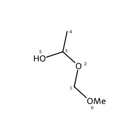 COCOC(C)O